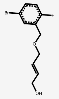 OC/C=C/COCc1cc(Br)ccc1F